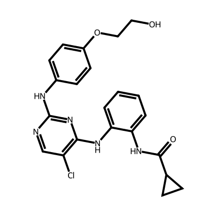 O=C(Nc1ccccc1Nc1nc(Nc2ccc(OCCO)cc2)ncc1Cl)C1CC1